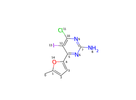 Cc1ccc(-c2nc(N)nc(Cl)c2I)o1